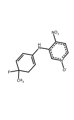 CC1(F)C=CC(Nc2c[n+]([O-])ccc2[N+](=O)[O-])=CC1